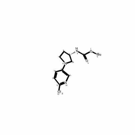 CC(C)(C)OC(=O)N[C@H]1CCN(c2ccc(C(F)(F)F)nc2)C1